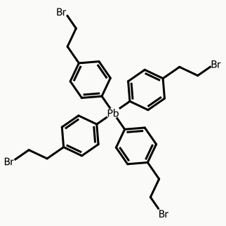 BrCCc1cc[c]([Pb]([c]2ccc(CCBr)cc2)([c]2ccc(CCBr)cc2)[c]2ccc(CCBr)cc2)cc1